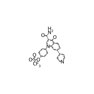 NC(=O)c1cn(-c2ccc(OS(=O)(=O)C(F)(F)F)cc2)c2cc(-c3ccncc3)ccc2c1=O